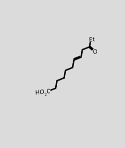 CCC(=O)CC=CCCCCCC(=O)O